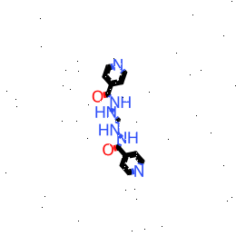 O=C(NNCNNC(=O)c1ccncc1)c1ccncc1